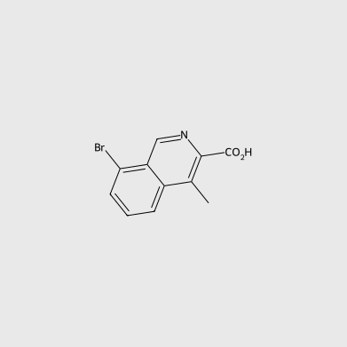 Cc1c(C(=O)O)ncc2c(Br)cccc12